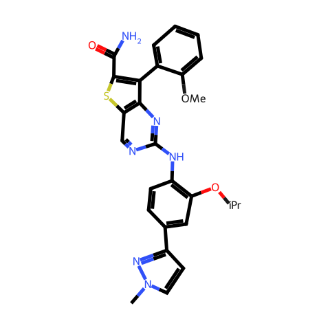 COc1ccccc1-c1c(C(N)=O)sc2cnc(Nc3ccc(-c4ccn(C)n4)cc3OC(C)C)nc12